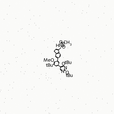 COc1c(-c2ccc3c(c2)CC=C3CNS(C)(=O)=O)cc(-c2cnc(OC(C)(C)C)nc2OC(C)(C)C)cc1C(C)(C)C